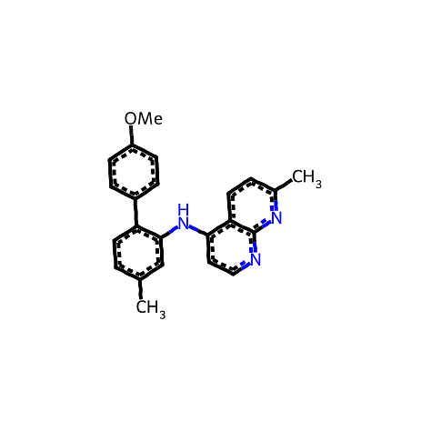 COc1ccc(-c2ccc(C)cc2Nc2ccnc3nc(C)ccc23)cc1